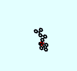 c1ccc(N(c2ccccc2)c2cccc(-c3ccccc3-c3ccc4c5ccccc5n(-c5cccc6c5C(c5ccccc5)(c5ccccc5)c5ccccc5-6)c4c3)c2)cc1